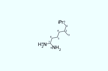 CC(C)CC(C)CCCC(N)N